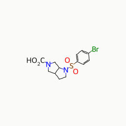 O=C(O)N1CC2CCN(S(=O)(=O)c3ccc(Br)cc3)C2C1